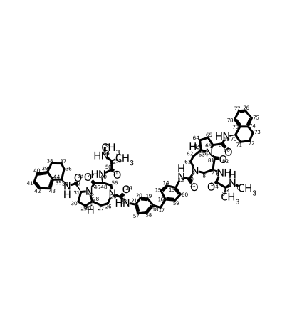 CN[C@@H](C)C(=O)N[C@H]1CN(C(=O)Nc2ccc(Cc3ccc(NC(=O)N4CC[C@H]5CC[C@@H](C(=O)N[C@@H]6CCCc7ccccc76)N5C(=O)[C@@H](NC(=O)[C@H](C)NC)C4)cc3)cc2)CC[C@H]2CCC(C(=O)N[C@@H]3CCCc4ccccc43)N2C1=O